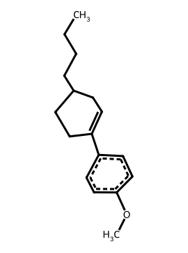 CCCCC1CC=C(c2ccc(OC)cc2)CC1